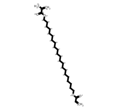 C=CC(=O)OCCCCCCCCCCCCCCCCCCCCCCOC(=O)C(=C)C